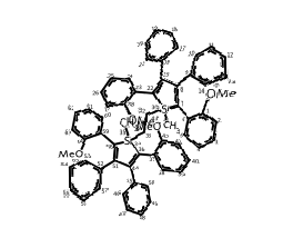 COc1ccccc1C1=C(c2ccccc2)C(c2ccccc2)=C(c2ccccc2OC)[Si]1(C)CC[Si]1(C)C(c2ccccc2OC)=C(c2ccccc2)C(c2ccccc2)=C1c1ccccc1OC